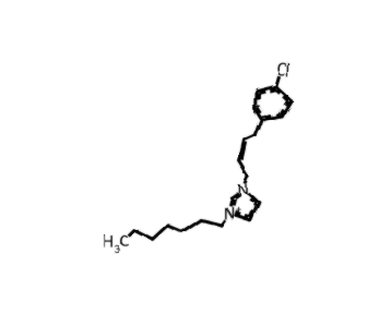 CCCCCCC[n+]1ccn(C/C=C\Cc2ccc(Cl)cc2)c1